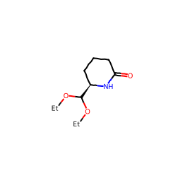 CCOC(OCC)[C@H]1CCCC(=O)N1